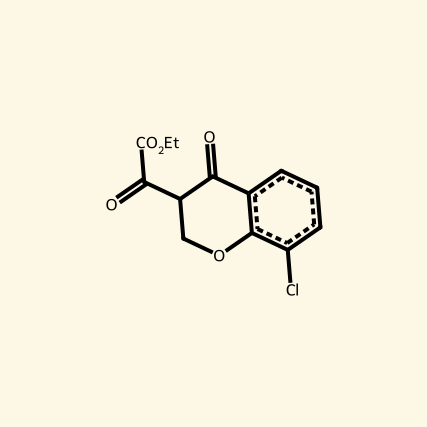 CCOC(=O)C(=O)C1COc2c(Cl)cccc2C1=O